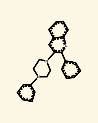 c1ccc(-c2nc3ccccc3cc2N2CCN(c3ccccc3)CC2)cc1